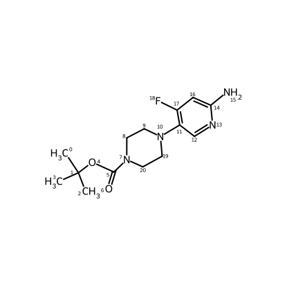 CC(C)(C)OC(=O)N1CCN(c2cnc(N)cc2F)CC1